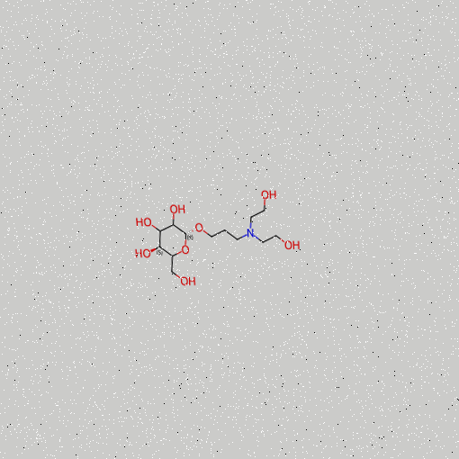 OCCN(CCO)CCCO[C@@H]1OC(CO)[C@@H](O)C(O)C1O